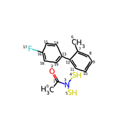 CC(=O)N(S)S.Cc1ccccc1-c1ccc(F)cc1